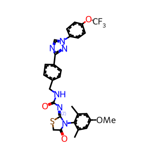 COc1cc(C)c(N2C(=O)CS/C2=N\C(=O)NCc2ccc(-c3ncn(-c4ccc(OC(F)(F)F)cc4)n3)cc2)c(C)c1